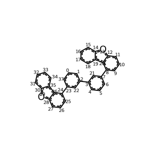 c1cc(-c2cccc(-c3cccc4oc5ccccc5c34)c2)cc(-c2cccc3oc4ccccc4c23)c1